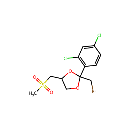 CS(=O)(=O)CC1COC(CBr)(c2ccc(Cl)cc2Cl)O1